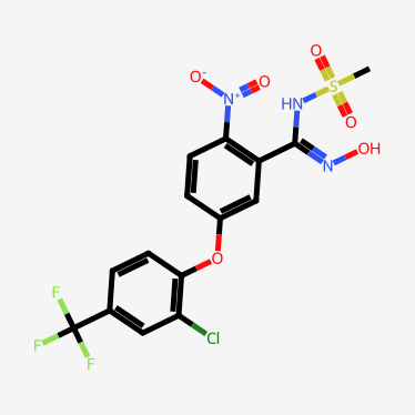 CS(=O)(=O)NC(=NO)c1cc(Oc2ccc(C(F)(F)F)cc2Cl)ccc1[N+](=O)[O-]